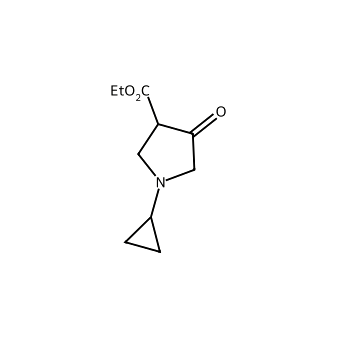 CCOC(=O)C1CN(C2CC2)CC1=O